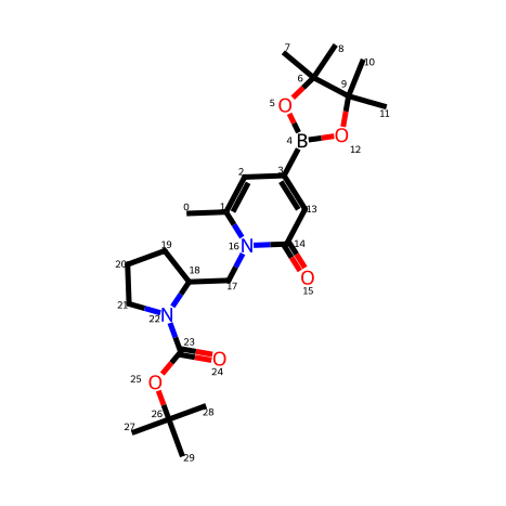 Cc1cc(B2OC(C)(C)C(C)(C)O2)cc(=O)n1CC1CCCN1C(=O)OC(C)(C)C